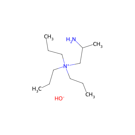 CCC[N+](CCC)(CCC)CC(C)N.[OH-]